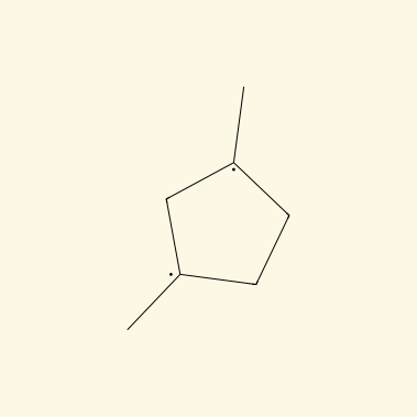 C[C]1CC[C](C)C1